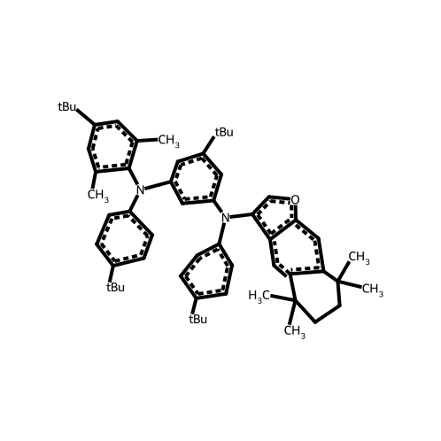 Cc1cc(C(C)(C)C)cc(C)c1N(c1ccc(C(C)(C)C)cc1)c1cc(N(c2ccc(C(C)(C)C)cc2)c2coc3cc4c(cc23)C(C)(C)CCC4(C)C)cc(C(C)(C)C)c1